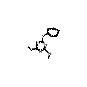 CNc1nc(OC)nc(Sc2ccccc2)n1